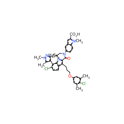 Cc1cc(OCCCc2c3n(c4c(-c5c(C)nn(C)c5C)c(Cl)ccc24)C(C)CN(c2ccc4c(c2)cc(C(=O)O)n4C)C3=O)cc(C)c1Cl